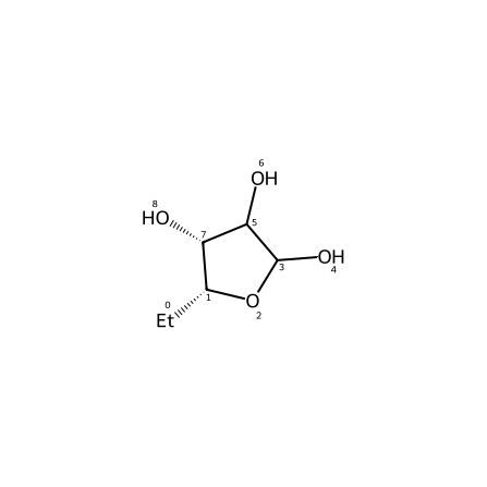 CC[C@H]1OC(O)C(O)[C@H]1O